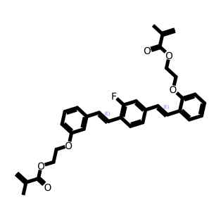 C=C(C)C(=O)OCCOc1cccc(/C=C/c2ccc(/C=C/c3ccccc3OCCOC(=O)C(=C)C)cc2F)c1